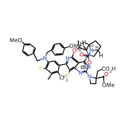 COC(=O)C1(CC(=O)O)CCN1c1nc2c3c(nc(-c4cc(N(Cc5ccc(OC)cc5)Cc5ccc(OC)cc5)c(F)c(C)c4C(F)(F)F)c(F)c3n1)O[C@@H](C)[C@@H]1[C@@H]3CC[C@H](CN21)N3C(=O)OC(C)(C)C